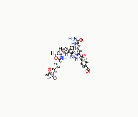 CC(C)[C@H](NC(=O)[C@@H](C)NC(=O)CCCCCN1C(=O)CCC1=O)c1cn([C@@H](CCCNC(N)=O)C(=O)Nc2ccc(CO)cc2)nn1